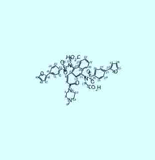 CN1CCN(C(=O)/C=C\c2cc(N(CC(=O)O)S(=O)(=O)c3ccc(-c4ccco4)cc3)c3ccccc3c2N(CC(=O)O)S(=O)(=O)c2ccc(-c3ccco3)cc2)CC1